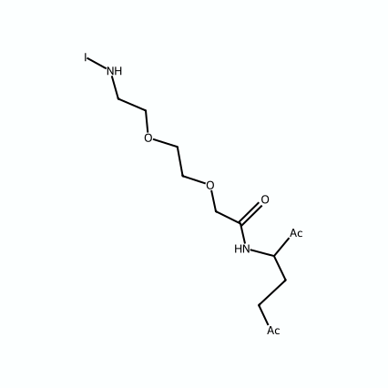 CC(=O)CCC(NC(=O)COCCOCCNI)C(C)=O